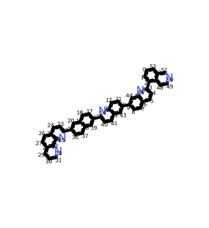 c1cc(-c2ccc3ccc(-c4ccc5nc(-c6ccc7cc(-c8ccc9ccc%10cccnc%10c9n8)ccc7c6)ccc5c4)cc3n2)c2ccncc2c1